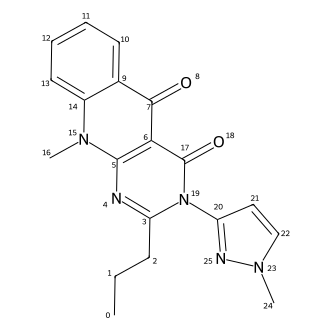 CCCc1nc2c(c(=O)c3ccccc3n2C)c(=O)n1-c1ccn(C)n1